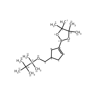 CC1(C)OB(C2=CCC(CO[Si](C)(C)C(C)(C)C)C2)OC1(C)C